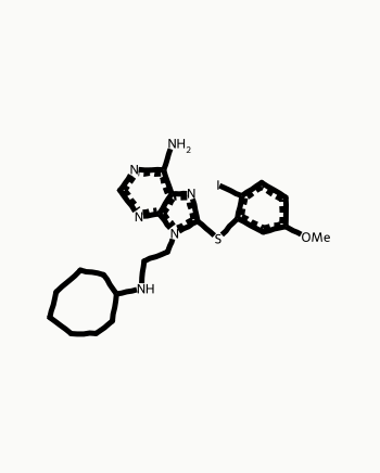 COc1ccc(I)c(Sc2nc3c(N)ncnc3n2CCNC2CCCCCCC2)c1